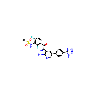 CCCS(=O)(=O)Nc1c(F)ccc(C(=O)c2n[nH]c3ncc(-c4ccc(-c5nnn[nH]5)cc4)cc23)c1F